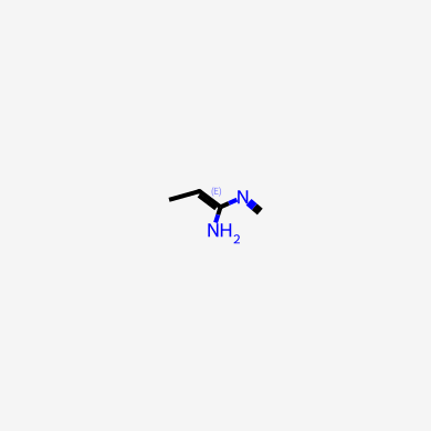 C=N/C(N)=C/C